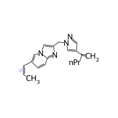 C=C(CCC)c1cnn(Cc2cn3cc(/C=C\C)ccc3n2)c1